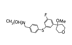 COC1(c2cc(F)cc(Sc3ccc(CN(C)O)cc3)c2)CCOCC1